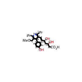 COCc1c(C(C)C)nc(C(C)C)c(/C=C/[C@@H](O)C[C@@H](O)CC(=O)O)c1-c1ccc(O)cc1